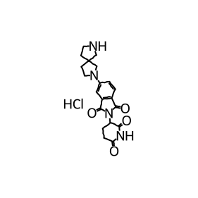 Cl.O=C1CCC(N2C(=O)c3ccc(N4CCC5(CCNC5)C4)cc3C2=O)C(=O)N1